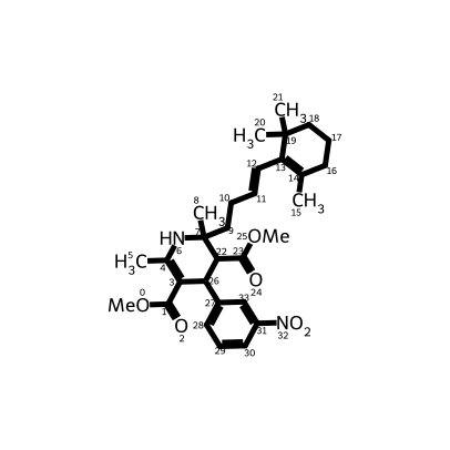 COC(=O)C1=C(C)NC(C)(CC/C=C/C2=C(C)CCCC2(C)C)C(C(=O)OC)C1c1cccc([N+](=O)[O-])c1